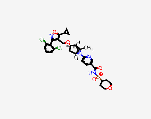 C[C@@H]1[C@@H]2C[C@@H](C[C@H]2OCc2c(-c3c(Cl)cccc3Cl)noc2C2CC2)N1c1ccc(C(=O)NS(=O)(=O)C2CCOCC2)cn1